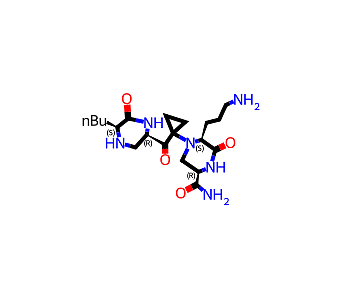 CCCC[C@@H]1NC[C@H](C(=O)C2(N3C[C@H](C(N)=O)NC(=O)[C@@H]3CCCN)CC2)NC1=O